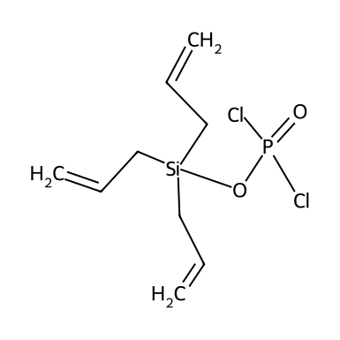 C=CC[Si](CC=C)(CC=C)OP(=O)(Cl)Cl